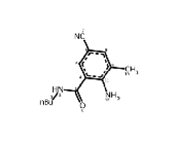 CCCCNC(=O)c1cc(C#N)cc(C)c1N